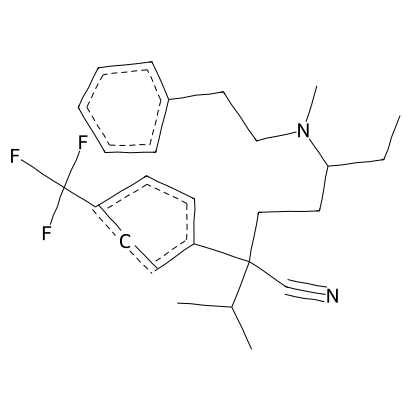 CCC(CCC(C#N)(c1ccc(C(F)(F)F)cc1)C(C)C)N(C)CCc1ccccc1